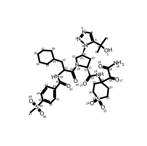 CC(C)(O)c1cnnn1[C@H]1C[C@@H](C(=O)NC2(C(=O)C(N)=O)CCS(=O)(=O)CC2)N(C(=O)C(CC2CCCCC2)NC(=O)c2ccc(S(C)(=O)=O)cc2)C1